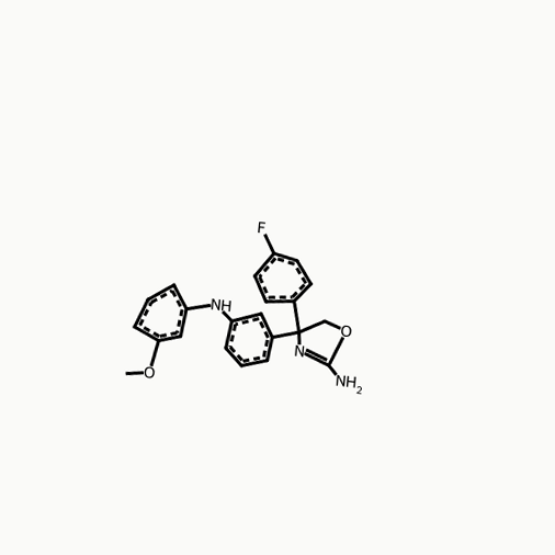 COc1cccc(Nc2cccc(C3(c4ccc(F)cc4)COC(N)=N3)c2)c1